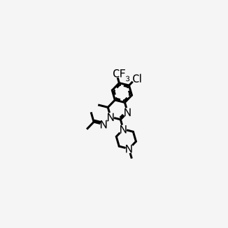 CC(C)=NN1C(N2CCN(C)CC2)=Nc2cc(Cl)c(C(F)(F)F)cc2C1C